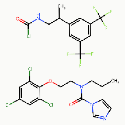 CC(CNC(=O)Cl)c1cc(C(F)(F)F)cc(C(F)(F)F)c1.CCCN(CCOc1c(Cl)cc(Cl)cc1Cl)C(=O)n1ccnc1